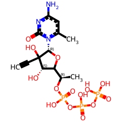 C#CC1(O)[C@@H](O)C([C@@H](C)OP(=O)(O)OP(=O)(O)OP(=O)(O)O)O[C@H]1n1c(C)cc(N)nc1=O